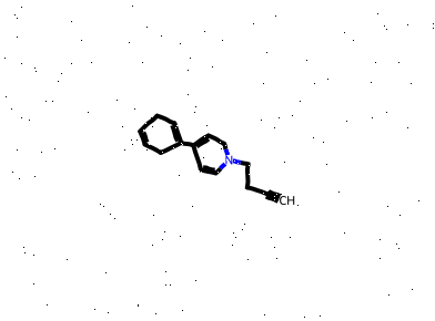 C#CCCN1C=CC(C2=CCC=CC2)=CC1